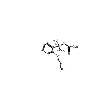 C=CCOc1ccccc1[N+](C)(SC(=O)OC)C(=O)[O-]